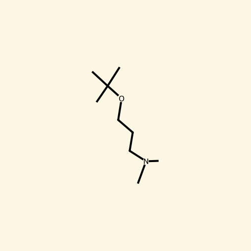 CN(C)CCCOC(C)(C)C